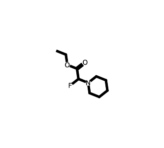 CCOC(=O)C(F)N1CCCCC1